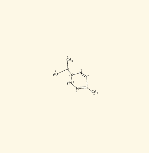 CC1=NNN(C(C)O)N=C1